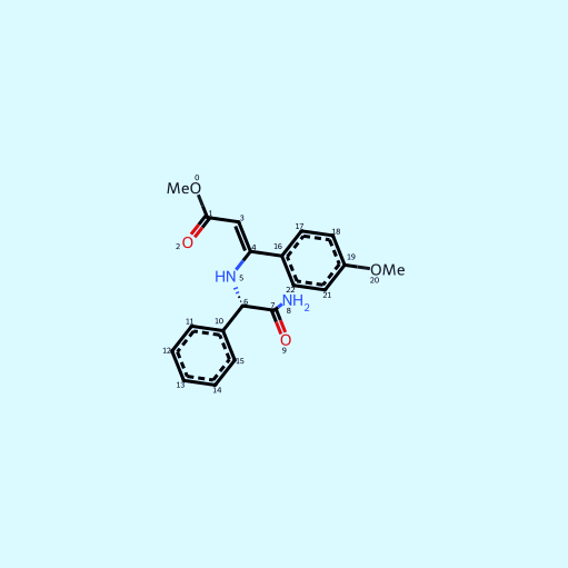 COC(=O)/C=C(\N[C@H](C(N)=O)c1ccccc1)c1ccc(OC)cc1